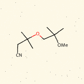 COC(C)(C)COC(C)(C)CC#N